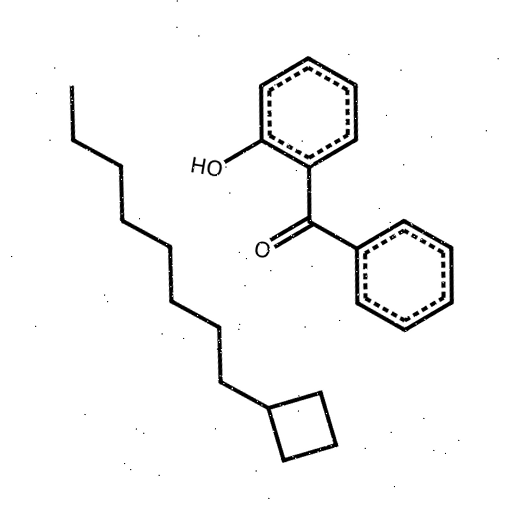 CCCCCCCCC1CCC1.O=C(c1ccccc1)c1ccccc1O